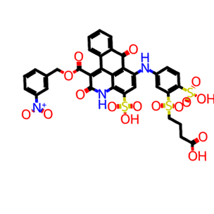 O=C(O)CCCS(=O)(=O)c1cc(Nc2cc(S(=O)(=O)O)c3[nH]c(=O)c(C(=O)OCc4cccc([N+](=O)[O-])c4)c4c3c2C(=O)c2ccccc2-4)ccc1S(=O)(=O)O